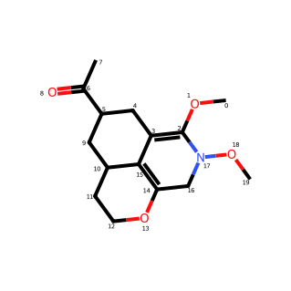 COC1=C2CC(C(C)=O)CC3CCOC(=C23)CN1OC